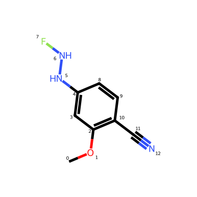 COc1cc(NNF)ccc1C#N